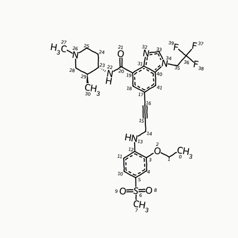 CCOc1cc(S(C)(=O)=O)ccc1NCC#Cc1cc(C(=O)N[C@H]2CCN(C)C[C@@H]2C)c2ncn(CC(F)(F)F)c2c1